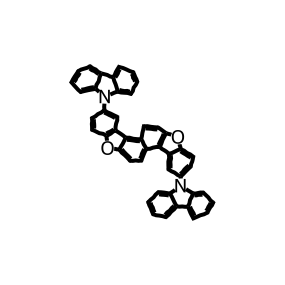 c1ccc2c(c1)c1ccccc1n2-c1ccc2oc3ccc4c(ccc5oc6ccc(-n7c8ccccc8c8ccccc87)cc6c54)c3c2c1